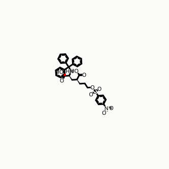 O=C(O)[C@@H](CCCOS(=O)(=O)c1ccc([N+](=O)[O-])cc1)C[C@H](NC(c1ccccc1)(c1ccccc1)c1ccccc1)C(=O)O